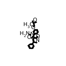 CC1(COc2ccc3c(c2)C2(COC(N)=N2)c2cc(-c4ccccc4)cnc2O3)COC1